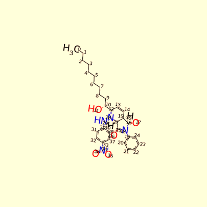 CCCCCCCCCC[C@@H](O)[C@H]1C=C[C@H]2C(=O)N(c3ccccc3)C(=O)[C@H]2N1Nc1ccc([N+](=O)[O-])cc1